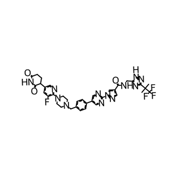 CC(C)(c1n[nH]c(CNC(=O)c2cnn(-c3ncc(-c4ccc(CN5CCN(c6ncc(C7CCC(=O)NC7=O)cc6F)CC5)cc4)cn3)c2)n1)C(F)(F)F